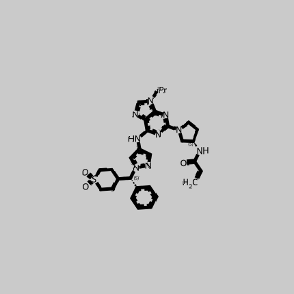 C=CC(=O)N[C@H]1CCN(c2nc(Nc3cnn([C@H](c4ccccc4)C4CCS(=O)(=O)CC4)c3)c3ncn(C(C)C)c3n2)C1